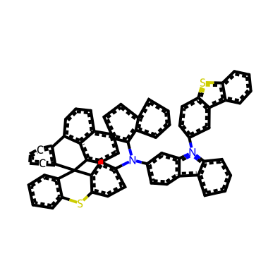 c1ccc2c(c1)Sc1ccc(N(c3ccc4c5ccccc5n(-c5ccc6sc7ccccc7c6c5)c4c3)c3cccc4ccccc34)cc1C21c2ccccc2-c2cccc3cccc1c23